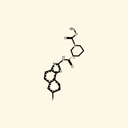 CC(C)(C)OC(=O)N1CCC[C@H](C(=O)Nc2nc3ccc4cc(F)ccc4c3s2)C1